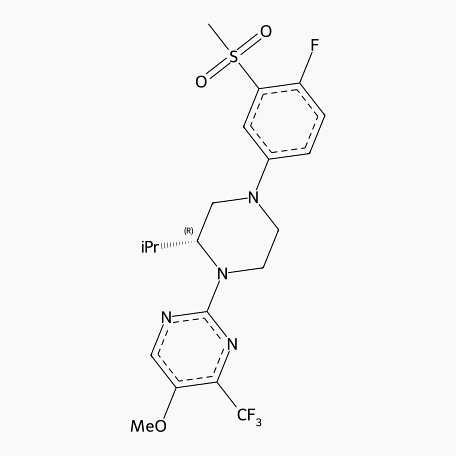 COc1cnc(N2CCN(c3ccc(F)c(S(C)(=O)=O)c3)C[C@H]2C(C)C)nc1C(F)(F)F